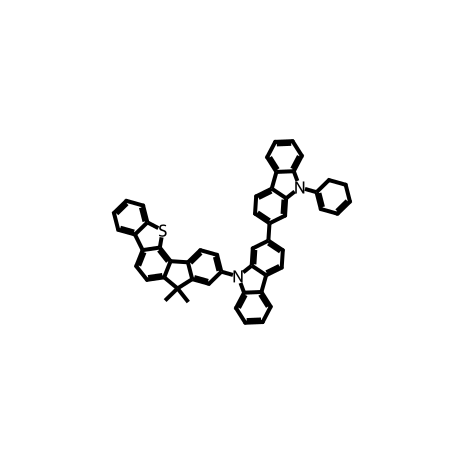 CC1(C)c2cc(-n3c4ccccc4c4ccc(-c5ccc6c7ccccc7n(C7=CC=CCC7)c6c5)cc43)ccc2-c2c1ccc1c2sc2ccccc21